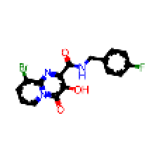 O=C(NCc1ccc(F)cc1)c1nc2c(Br)cccn2c(=O)c1O